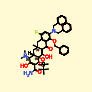 CN(C)[C@@H]1C(O)=C(C(N)=O)C(=O)[C@@]2(O[Si](C)(C)C(C)(C)C)C(O)=C3C(=O)c4c(c(F)cc(N(Cc5ccccc5)Cc5ccccc5)c4OCc4ccccc4)C[C@@]3(C)C[C@@H]12